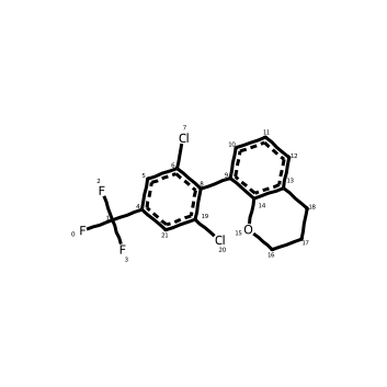 FC(F)(F)c1cc(Cl)c(-c2cccc3c2OCCC3)c(Cl)c1